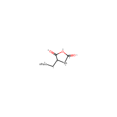 CCCCCC[CH]1[Zn][C](=O)OC1=O